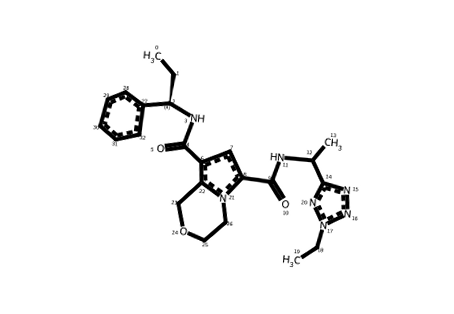 CC[C@@H](NC(=O)c1cc(C(=O)NC(C)c2nnn(CC)n2)n2c1COCC2)c1ccccc1